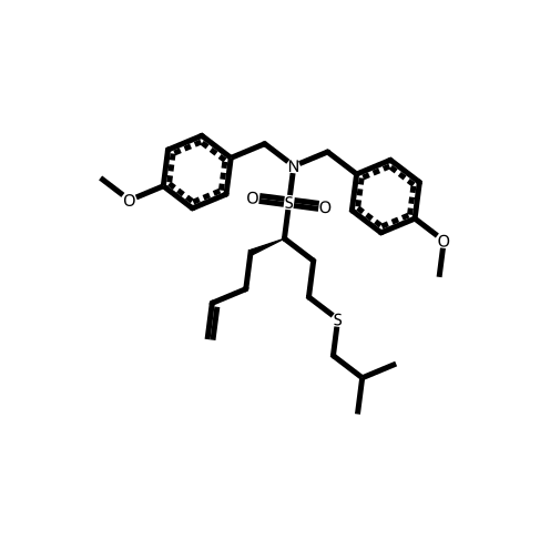 C=CCC[C@H](CCSCC(C)C)S(=O)(=O)N(Cc1ccc(OC)cc1)Cc1ccc(OC)cc1